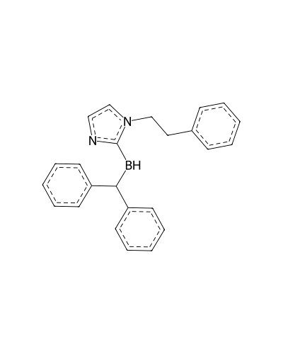 B(c1nccn1CCc1ccccc1)C(c1ccccc1)c1ccccc1